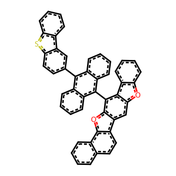 c1ccc2c(c1)ccc1c3cc4oc5ccccc5c4c(-c4c5ccccc5c(-c5ccc6sc7ccccc7c6c5)c5ccccc45)c3oc21